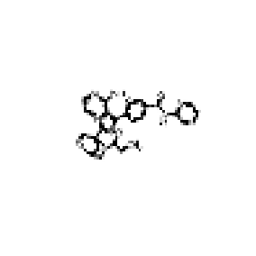 C=CC(=O)N1CC2CC1(c1nc(-c3ccc(C(=O)Nc4ccccn4)cc3)c3c(N)nccn13)CO2